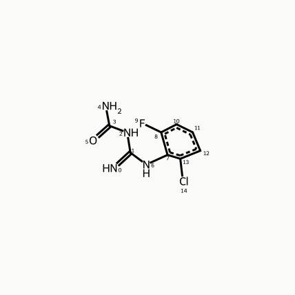 N=C(NC(N)=O)Nc1c(F)cccc1Cl